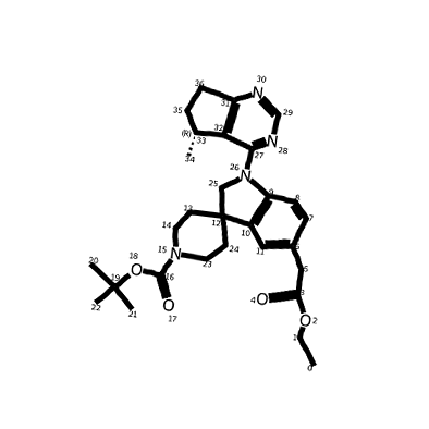 CCOC(=O)Cc1ccc2c(c1)C1(CCN(C(=O)OC(C)(C)C)CC1)CN2c1ncnc2c1[C@H](C)CC2